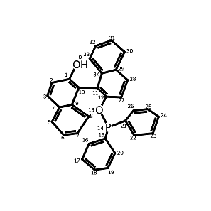 Oc1ccc2ccccc2c1-c1c(OP(c2ccccc2)c2ccccc2)ccc2ccccc12